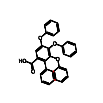 O=C(O)c1cc(Oc2ccccc2)c(Oc2ccccc2)c(Oc2ccccc2)c1-c1ccccc1